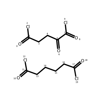 O=C(Cl)CCC(=O)C(=O)Cl.O=C(Cl)CCCCC(=O)Cl